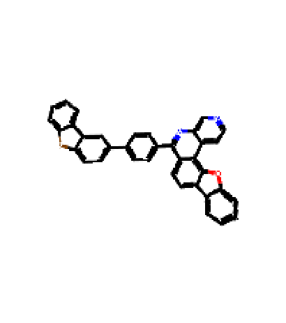 c1ccc2c(c1)oc1c2ccc2c(-c3ccc(-c4ccc5sc6ccccc6c5c4)cc3)nc3cnccc3c21